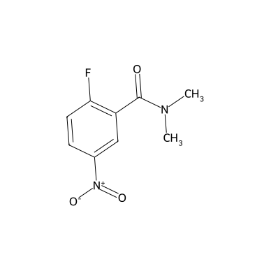 CN(C)C(=O)c1cc([N+](=O)[O-])ccc1F